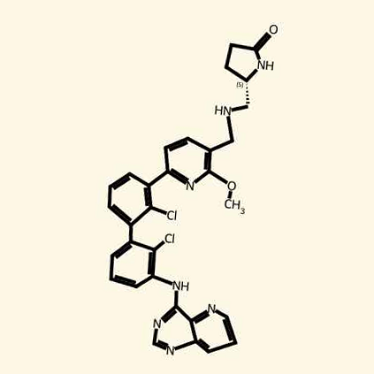 COc1nc(-c2cccc(-c3cccc(Nc4ncnc5cccnc45)c3Cl)c2Cl)ccc1CNC[C@@H]1CCC(=O)N1